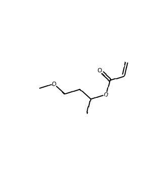 C=CC(=O)OC(C)CCOC